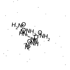 CCn1nc(C)cc1C(=O)Nc1nc2cc(C(N)=O)cc(C)c2n1C/C=C/CNc1ncc(C(N)=O)cc1N